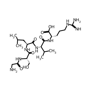 CC(C)C[C@H](NC(=O)[C@H](CO)NC(=O)CN)C(=O)N[C@H](C(=O)N[C@@H](CCCNC(=N)N)C(=O)O)C(C)C